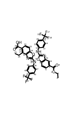 CCOC(=O)c1ccc2oc(Nc3ccc(C(F)(F)F)cc3)nc2c1.CCc1c(C(=O)O)ccc2oc(Nc3ccc(C(F)(F)F)cc3)nc12